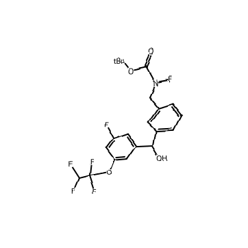 CC(C)(C)OC(=O)N(F)Cc1cccc(C(O)c2cc(F)cc(OC(F)(F)C(F)F)c2)c1